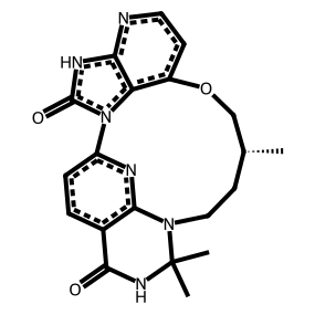 C[C@@H]1CCN2c3nc(ccc3C(=O)NC2(C)C)-n2c(=O)[nH]c3nccc(c32)OC1